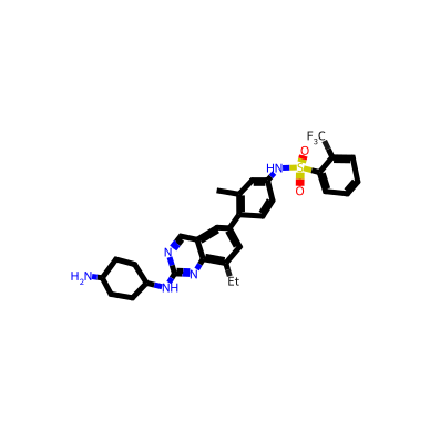 CCc1cc(-c2ccc(NS(=O)(=O)c3ccccc3C(F)(F)F)cc2C)cc2cnc(NC3CCC(N)CC3)nc12